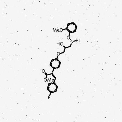 CCN(CC(O)COc1ccc(/C(=C/c2ccc(F)cc2)C(=O)OC)cc1)Oc1ccccc1OC